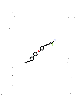 CCCCc1ccc(C2CCC(OCC3CCC(CCC=CC=C(F)C#N)CC3)CC2)cc1